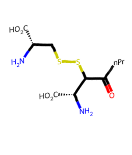 CCCC(=O)C(SSC[C@H](N)C(=O)O)[C@H](N)C(=O)O